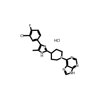 Cc1[nH]c(C2CCN(c3ncnc4[nH]cnc34)CC2)nc1-c1ccc(F)c(Cl)c1.Cl